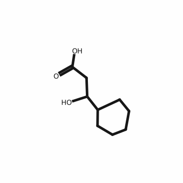 O=C(O)CC(O)C1CCCCC1